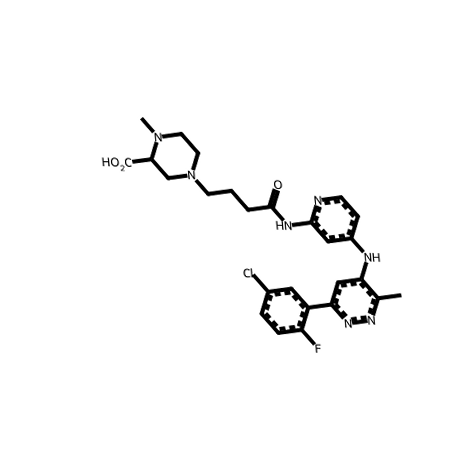 Cc1nnc(-c2cc(Cl)ccc2F)cc1Nc1ccnc(NC(=O)CCCN2CCN(C)C(C(=O)O)C2)c1